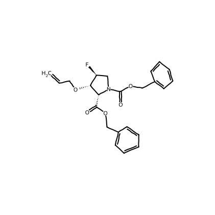 C=CCO[C@H]1[C@@H](C(=O)OCc2ccccc2)N(C(=O)OCc2ccccc2)C[C@@H]1F